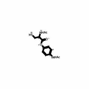 CC(=O)Nc1ccc(OC(=O)C(CS)NC(C)=O)cc1